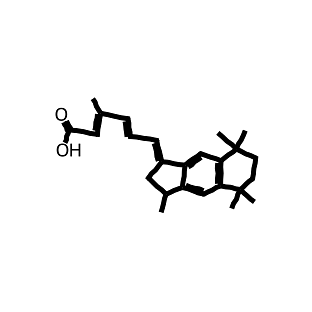 CC(C=CC=C1CC(C)c2cc3c(cc21)C(C)(C)CCC3(C)C)=CC(=O)O